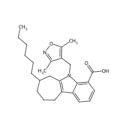 CCCCCCC1CCCc2c(n(Cc3c(C)noc3C)c3c(C(=O)O)cccc23)C1